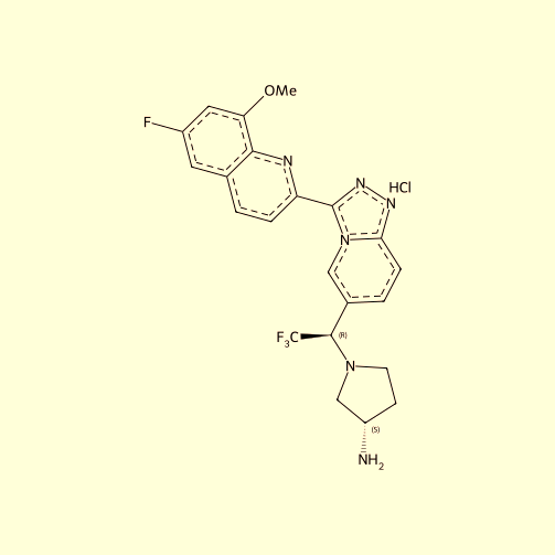 COc1cc(F)cc2ccc(-c3nnc4ccc([C@@H](N5CC[C@H](N)C5)C(F)(F)F)cn34)nc12.Cl